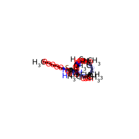 COCCOCCOCCOCCOCCNC(=S)O[C@@H]1CC[C@@H](C[C@@H](N)[C@@H]2CC(=O)[C@H](C)/C=C(\C)[C@@H](O)[C@@H](O)C(=O)[C@H](C)C[C@H](C)/C=C/C=C/C=C(\C)[C@@H](OC)C[C@@H]3CC[C@@H](C)[C@@](O)(O3)C(=O)C(=O)N3CCCC[C@H]3C(=O)O2)C[C@H]1OC